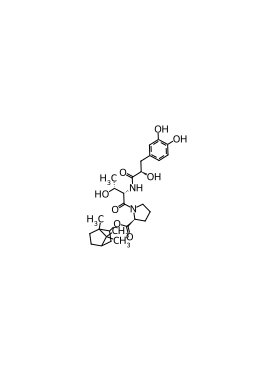 C[C@@H](O)[C@H](NC(=O)[C@H](O)Cc1ccc(O)c(O)c1)C(=O)N1CCC[C@H]1C(=O)OC1CC2CCC1(C)C2(C)C